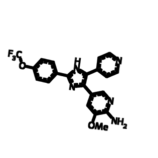 COc1cc(-c2nc(-c3ccc(OC(F)(F)F)cc3)[nH]c2-c2ccncc2)cnc1N